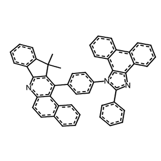 CC1(C)c2ccccc2-c2nc3ccc4ccccc4c3c(-c3ccc(-n4c(-c5ccccc5)nc5c6ccccc6c6ccccc6c54)cc3)c21